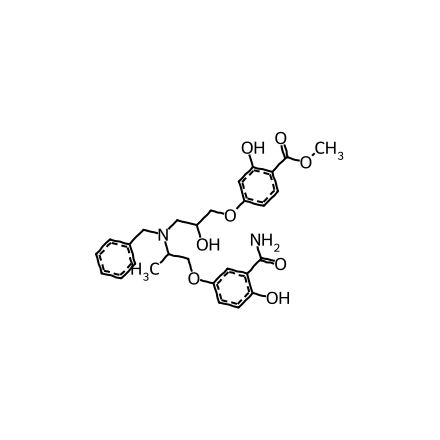 COC(=O)c1ccc(OCC(O)CN(Cc2ccccc2)C(C)COc2ccc(O)c(C(N)=O)c2)cc1O